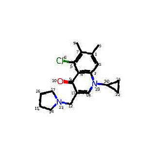 Cc1cc2c(c(Cl)c1C)c(=O)c(CN1CCCC1)cn2C1CC1